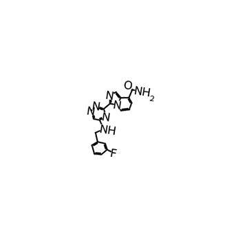 NC(=O)c1cccn2c(-c3nncc(NCc4cccc(F)c4)n3)ncc12